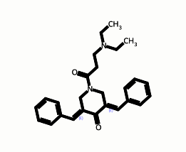 CCN(CC)CCC(=O)N1C/C(=C\c2ccccc2)C(=O)/C(=C/c2ccccc2)C1